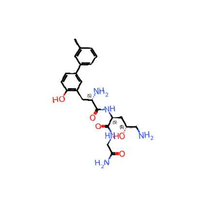 Cc1cccc(-c2ccc(O)c(C[C@H](N)C(=O)N[C@@H](C[C@@H](O)CN)C(=O)NCC(N)=O)c2)c1